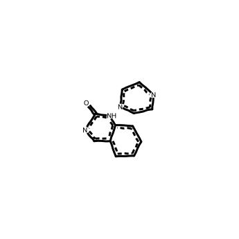 O=c1ncc2ccccc2[nH]1.c1cnccn1